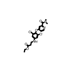 CCOC(=O)CCNc1cc(Cl)c(Oc2ccnc(C(=O)N(C)C)c2)c(Cl)c1